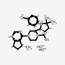 CCC(=O)N1CCN(c2ncnc3c2[C@H](C)CC3)C[C@@]1(c1cccc(Cl)c1)[C@@H]1CCC(C)(C)N1.Cl.Cl